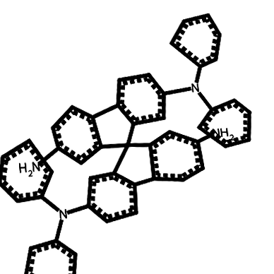 Nc1ccc2c(c1)C1(c3cc(N)ccc3-c3ccc(N(c4ccccc4)c4ccccc4)cc31)c1cc(N(c3ccccc3)c3ccccc3)ccc1-2